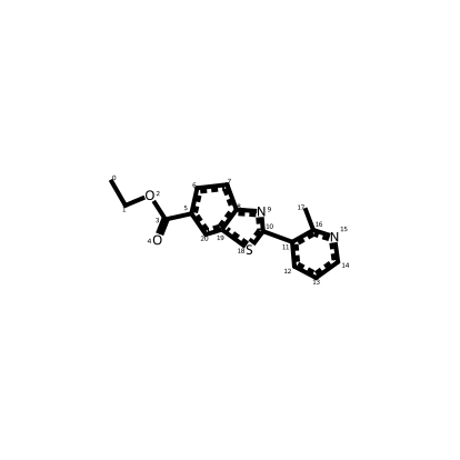 CCOC(=O)c1ccc2nc(-c3cccnc3C)sc2c1